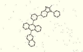 Cc1nc2cc(-c3cccc(-c4c5ccccc5c(-c5ccc6ccccc6c5)c5ccccc45)c3)ccc2n1-c1ccccc1